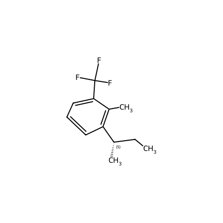 CC[C@H](C)c1cccc(C(F)(F)F)c1C